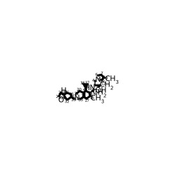 C=C(N[C@@H](CN1CCC(C)C1)C(=C)O)[C@H]1C(C)CC2=C(CCN(CC3CC[C@@H]4CCOC4C3)C2)C1C1CC1